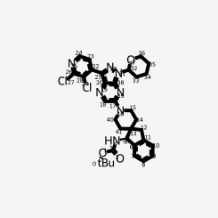 CC(C)(C)OC(=O)N[C@@H]1c2ccccc2CC12CCN(c1cnc3c(-c4ccnc(Cl)c4Cl)nn(C4CCCCO4)c3n1)CC2